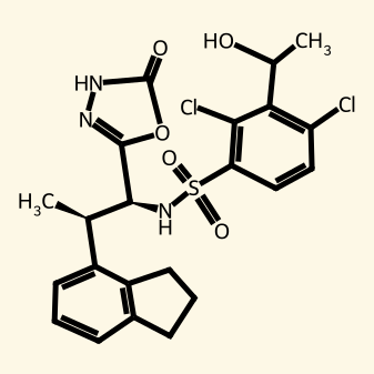 CC(O)c1c(Cl)ccc(S(=O)(=O)N[C@H](c2n[nH]c(=O)o2)[C@H](C)c2cccc3c2CCC3)c1Cl